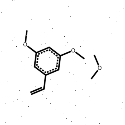 C=Cc1cc(OC)cc(OC)c1.COC